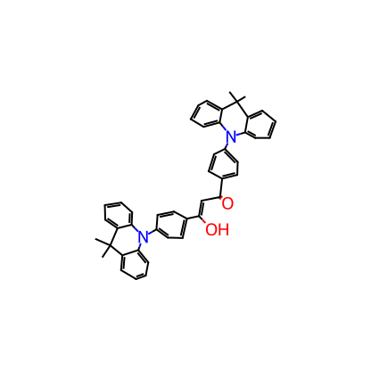 CC1(C)c2ccccc2N(c2ccc(C(=O)C=C(O)c3ccc(N4c5ccccc5C(C)(C)c5ccccc54)cc3)cc2)c2ccccc21